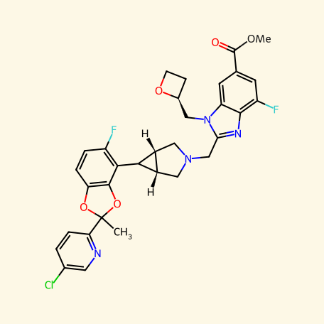 COC(=O)c1cc(F)c2nc(CN3C[C@@H]4C(c5c(F)ccc6c5OC(C)(c5ccc(Cl)cn5)O6)[C@@H]4C3)n(C[C@@H]3CCO3)c2c1